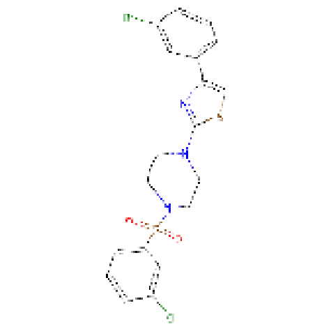 O=S(=O)(c1cccc(Cl)c1)N1CCN(c2nc(-c3cccc(Br)c3)cs2)CC1